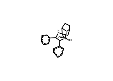 O=C(O)N1C2CCC1C1(C2)NC(c2ccccc2)C(c2ccccc2)N1